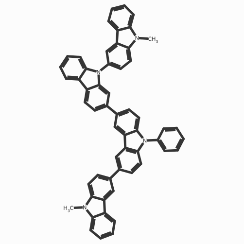 Cn1c2ccccc2c2cc(-c3ccc4c(c3)c3cc(-c5ccc6c7ccccc7n(-c7ccc8c(c7)c7ccccc7n8C)c6c5)ccc3n4-c3ccccc3)ccc21